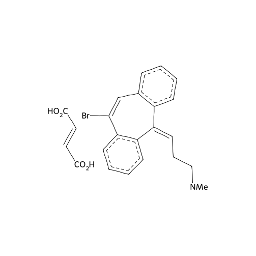 CNCCC=C1c2ccccc2C=C(Br)c2ccccc21.O=C(O)C=CC(=O)O